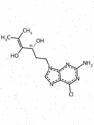 CC(C)=C(O)[C@H](O)CCn1cnc2c(Cl)nc(N)nc21